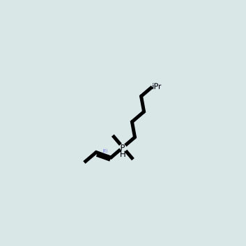 C/C=C/[PH](C)(C)CCCCC(C)C